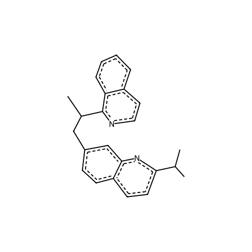 CC(C)c1ccc2ccc(CC(C)c3nccc4ccccc34)cc2n1